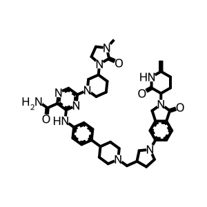 C=C1CCC(N2Cc3cc(N4CCC(CN5CCC(c6ccc(Nc7nc(N8CCCC(N9CCN(C)C9=O)C8)cnc7C(N)=O)cc6)CC5)C4)ccc3C2=O)C(=O)N1